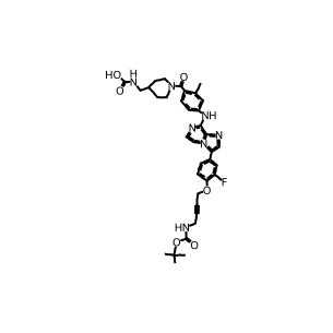 Cc1cc(Nc2nccn3c(-c4ccc(OCC#CCNC(=O)OC(C)(C)C)c(F)c4)cnc23)ccc1C(=O)N1CCC(CNC(=O)O)CC1